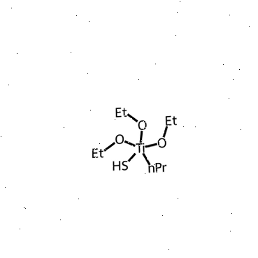 CC[CH2][Ti]([SH])([O]CC)([O]CC)[O]CC